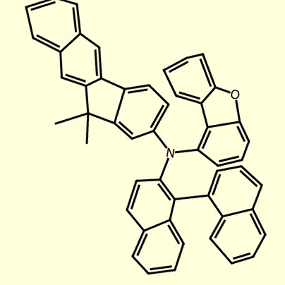 CC1(C)c2cc(N(c3ccc4ccccc4c3-c3cccc4ccccc34)c3cccc4oc5ccccc5c34)ccc2-c2cc3ccccc3cc21